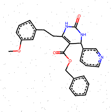 COc1cccc(CCC2=C(C(=O)OCc3ccccc3)C(c3cccnc3)NC(=O)N2)c1